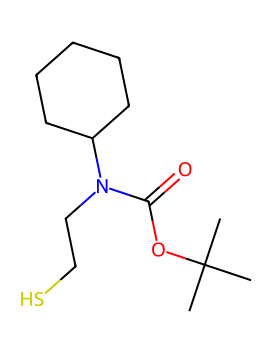 CC(C)(C)OC(=O)N(CCS)C1CCCCC1